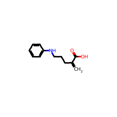 C=C(CCCNc1ccccc1)C(=O)O